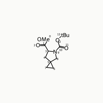 COC(=O)C1CC2(CC2)CN1C(=O)OC(C)(C)C